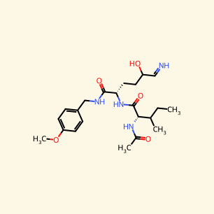 CCC(C)[C@H](NC(C)=O)C(=O)N[C@@H](CCC(O)C=N)C(=O)NCc1ccc(OC)cc1